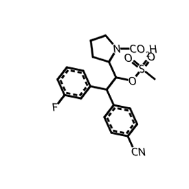 CS(=O)(=O)OC(C(c1ccc(C#N)cc1)c1cccc(F)c1)C1CCCN1C(=O)O